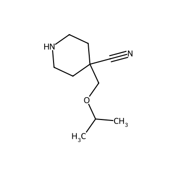 CC(C)OCC1(C#N)CCNCC1